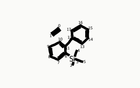 C#C.C[Si](C)(C)c1ccccc1-c1ccccc1